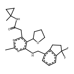 Cc1nc(CC(=O)NC2(C)CC2)c(C2CCCO2)c(NCc2cccc3c2CCC3(F)F)n1